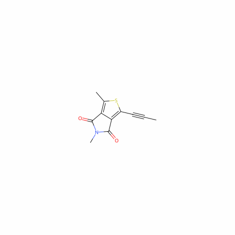 CC#Cc1sc(C)c2c1C(=O)N(C)C2=O